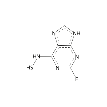 Fc1nc(NS)c2nc[nH]c2n1